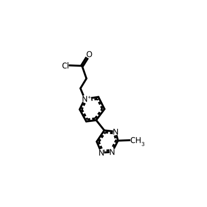 Cc1nncc(-c2cc[n+](CCC(=O)Cl)cc2)n1